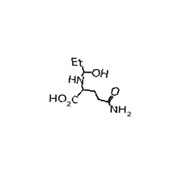 CCC(O)NC(CCC(N)=O)C(=O)O